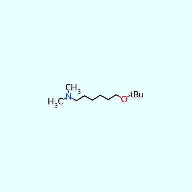 CN(C)CCCCCCOC(C)(C)C